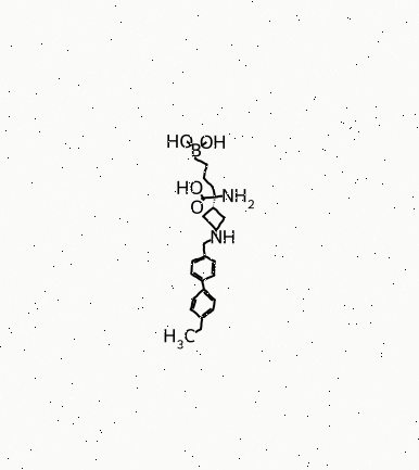 CCc1ccc(-c2ccc(CN[C@H]3C[C@@H](C(N)(CCCCB(O)O)C(=O)O)C3)cc2)cc1